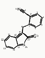 N#Cc1ccccc1CC1=c2ccccc2=NC1=O